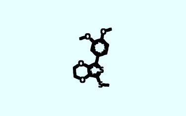 COc1ccc(-c2sc(SC)c3c2OCCO3)cc1OC